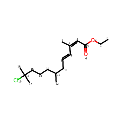 CCOC(=O)C=C(C)C=CCC(C)CCCC(C)(C)Cl